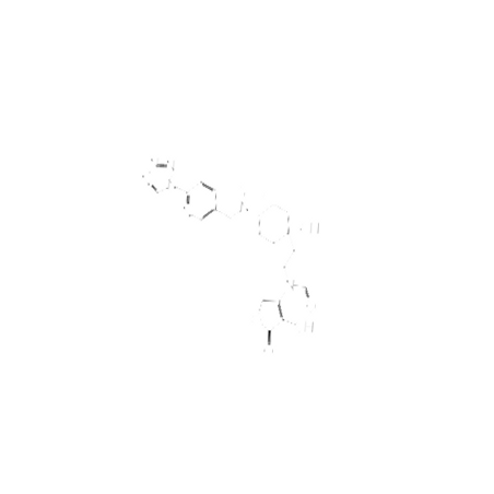 CC1=C(N(C=O)CC[C@]2(C)CC[C@@H](N(C)Cc3ccc(-n4cnnn4)nc3)CC2)COC1=O